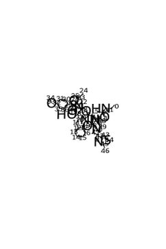 CCNC(=O)C[C@@H](C(=O)N[C@@H](Cc1ccccc1)[C@H](O)CN(CC(C)C)S(=O)(=O)c1ccc(OC)cc1)N1CCN(Cc2csc(C)n2)C1=O